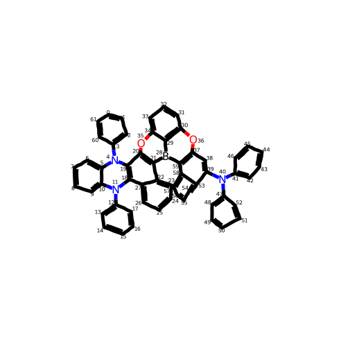 c1ccc(N2c3ccccc3N(c3ccccc3)c3c2c2c(c4ccccc34)B3c4c(cccc4O2)Oc2cc(N(c4ccccc4)c4ccccc4)c4ccccc4c23)cc1